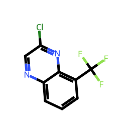 FC(F)(F)c1cccc2ncc(Cl)nc12